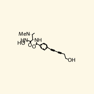 CN[C@H](C)[C@H](NC(=O)c1ccc(C#CC#CCCO)cc1)C(=O)NO